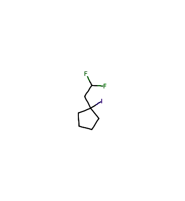 FC(F)CC1(I)CCCC1